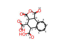 O=C(O)C1c2ccccc2C2C(=O)OC(=O)C2C1C(=O)O